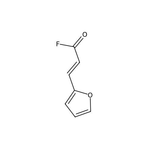 O=C(F)C=Cc1ccco1